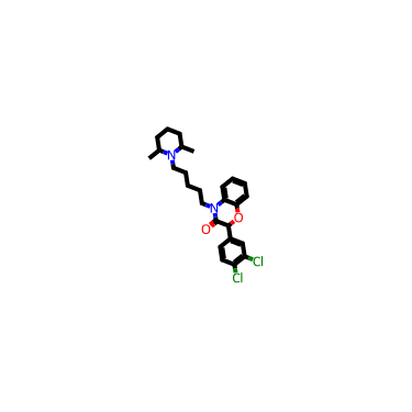 CC1CCCC(C)N1CCCCCN1C(=O)C(c2ccc(Cl)c(Cl)c2)Oc2ccccc21